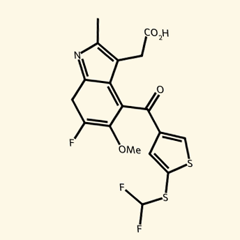 COC1=C(F)CC2=NC(C)=C(CC(=O)O)C2=C1C(=O)c1csc(SC(F)F)c1